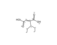 CCC(CC)/C(=C\C(=O)O)C(=O)O